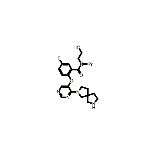 CC(C)N(CCO)C(=O)c1cc(F)ccc1Oc1cncnc1N1CCC2(CCNC2)C1